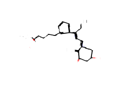 C=C1/C(=C\C=C(/CC)c2cccc(CCCCC(C)(C)O)c2)CC(O)CC1O